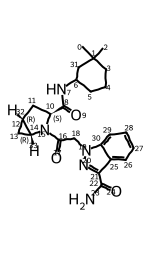 CC1(C)CCCC(NC(=O)[C@@H]2C[C@H]3C[C@H]3N2C(=O)Cn2nc(C(N)=O)c3ccccc32)C1